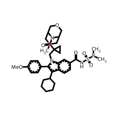 COc1ccc(-c2c(C3CCCCC3)c3ccc(C(=O)NS(=O)(=O)N(C)C)cc3n2CC2(C(=O)N3C4COCC3CN(C)C4)CC2)cc1